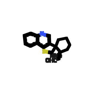 CNC(=S)C1(c2cnc3ccccc3c2)CCCC/C1=C/C=O